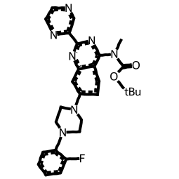 CN(C(=O)OC(C)(C)C)c1nc(-c2cnccn2)nc2cc(N3CCN(c4ccccc4F)CC3)ccc12